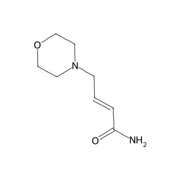 NC(=O)C=CCN1CCOCC1